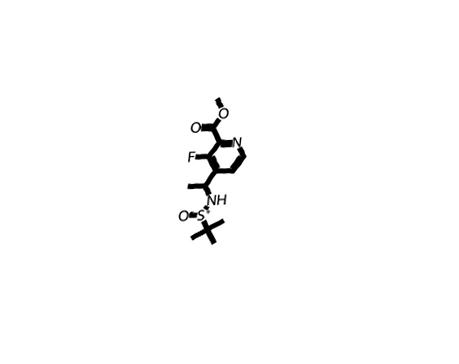 COC(=O)c1nccc(C(C)N[S+]([O-])C(C)(C)C)c1F